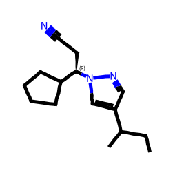 CCC(C)c1cnn([C@H](CC#N)C2CCCC2)c1